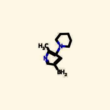 Bc1cnc(C)c(N2CCCCC2)c1